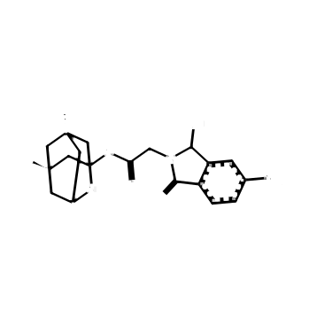 Nc1ccc2c(c1)C(O)N(CC(=O)NC13C[C@@H]4CC(C[C@@H](C4)C1)N3)C2=O